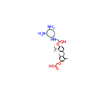 Cc1cc(OCC(=O)O)cc(C)c1Cc1ccc(OC(O)CNC2CCCC(N)CC(N)CC2)c(C(C)C)c1